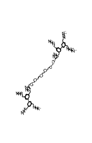 [N-]=[N+]=NCc1cc(CN=[N+]=[N-])cc(-c2cc(CN=[N+]=[N-])cc(Cn3cc(COCCOCCOCCOCCOCCOCc4cn(Cc5cc(CN=[N+]=[N-])cc(-c6cc(CN=[N+]=[N-])cc(CN=[N+]=[N-])c6)c5)nn4)nn3)c2)c1